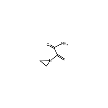 C=C(C(N)=O)N1CC1